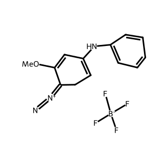 COC1=CC(Nc2ccccc2)=CCC1=[N+]=[N-].F[B-](F)(F)F